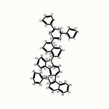 c1ccc(-c2nc(-c3ccccc3)nc(-c3cccc4c(-n5c6ccccc6c6c5ccc5c7c8ccccc8ccc7n(-c7ccccc7)c56)cccc34)n2)cc1